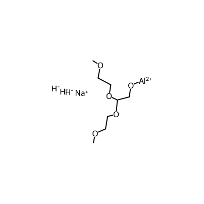 COCCOC(C[O][Al+2])OCCOC.[H-].[H-].[H-].[Na+]